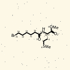 COC(=O)[C@H](CCSC)NC(=O)CCCCCBr